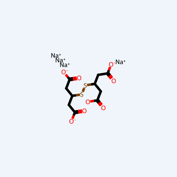 O=C([O-])CC(CC(=O)[O-])SSC(CC(=O)[O-])CC(=O)[O-].[Na+].[Na+].[Na+].[Na+]